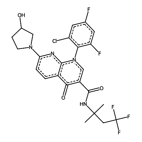 CC(C)(CC(F)(F)F)NC(=O)c1cn(-c2c(F)cc(F)cc2Cl)c2nc(N3CCC(O)C3)ccc2c1=O